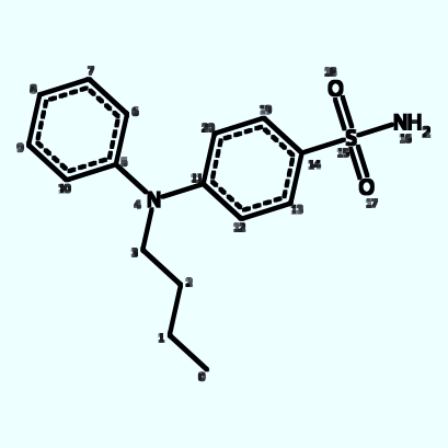 CCCCN(c1ccccc1)c1ccc(S(N)(=O)=O)cc1